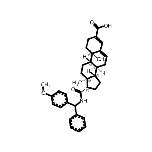 COc1ccc(C(NC(=O)[C@H]2CC[C@H]3[C@@H]4CC=C5C=C(C(=O)O)CC[C@]5(C)[C@H]4CC[C@]23C)c2ccccc2)cc1